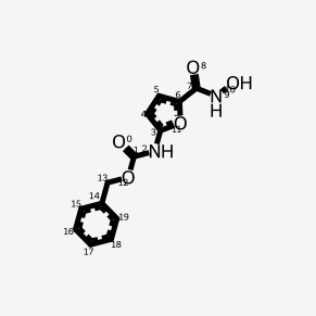 O=C(Nc1ccc(C(=O)NO)o1)OCc1ccccc1